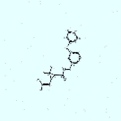 CC(Cl)=CC1C(C(=O)OCc2cccc(Oc3ccccc3)c2)C1(C)C